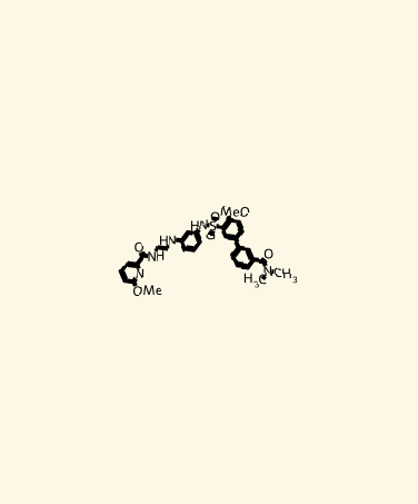 COc1cccc(C(=O)NCCNc2cccc(NS(=O)(=O)c3cc(-c4cccc(C(=O)N(C)C)c4)ccc3OC)c2)n1